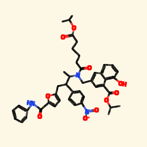 CC(C)OC(=O)CCCCC(=O)N(Cc1cc(C(=O)OC(C)C)c2c(O)cccc2c1)C(C)C(Cc1ccc(C(=O)Nc2ccccc2)o1)c1ccc([N+](=O)[O-])cc1